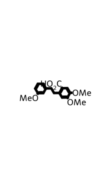 COc1cccc(CCc2cc(OC)c(OC)cc2C(=O)O)c1